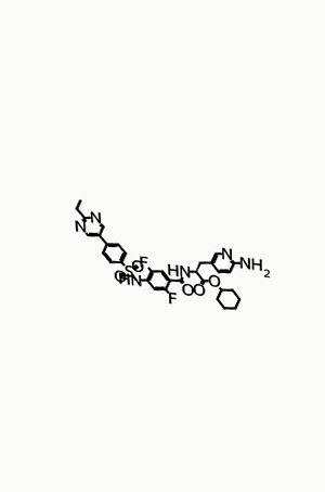 CCc1ncc(-c2ccc(S(=O)(=O)Nc3cc(F)c(C(=O)N[C@@H](Cc4ccc(N)nc4)C(=O)OC4CCCCC4)cc3F)cc2)cn1